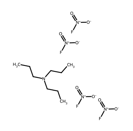 CCCN(CCC)CCC.O=[N+]([O-])F.O=[N+]([O-])F.O=[N+]([O-])F.O=[N+]([O-])F